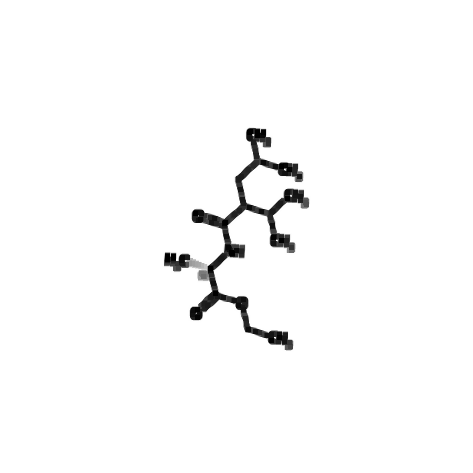 CCOC(=O)[C@H](C)NC(=O)C(CC(C)C)C(C)C